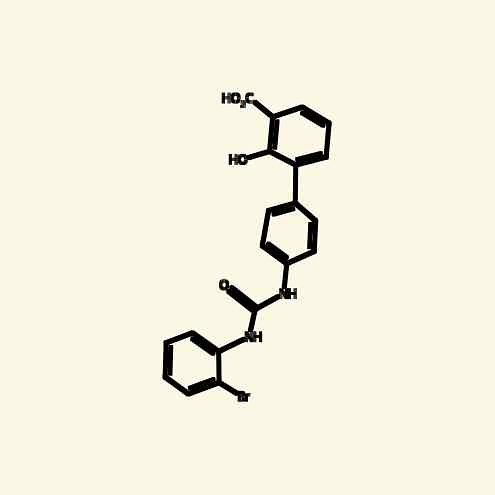 O=C(Nc1ccc(-c2cccc(C(=O)O)c2O)cc1)Nc1ccccc1Br